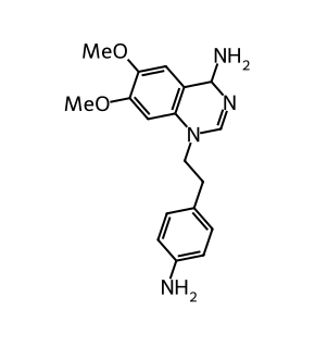 COc1cc2c(cc1OC)N(CCc1ccc(N)cc1)C=NC2N